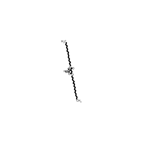 CCCCCCCCCCCCCCCCOC(=O)CC(C(=O)OCCCCCCCCCCCCCCCC)S(=O)(=O)O.[KH]